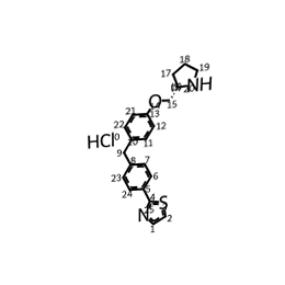 Cl.c1csc(-c2ccc(Cc3ccc(OC[C@@H]4CCCN4)cc3)cc2)n1